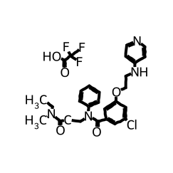 CCN(C)C(=O)CCN(C(=O)c1cc(Cl)cc(OCCNc2ccncc2)c1)c1ccccc1.O=C(O)C(F)(F)F